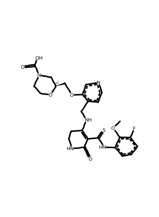 COc1c(F)cccc1NC(=S)C1=C(NCc2ccncc2OC[C@@H]2CN(C(=O)O)CCO2)CCNC1=O